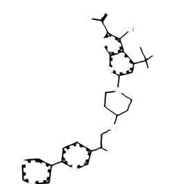 NC(=O)c1sc2nc(N3CCC(NCC(O)c4ccc(-c5cncnc5)nc4)CC3)cc(C(F)(F)F)c2c1N